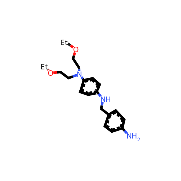 CCOCCN(CCOCC)c1ccc(NCc2ccc(N)cc2)cc1